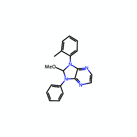 COC1N(c2ccccc2)c2nccnc2N1c1ccccc1C